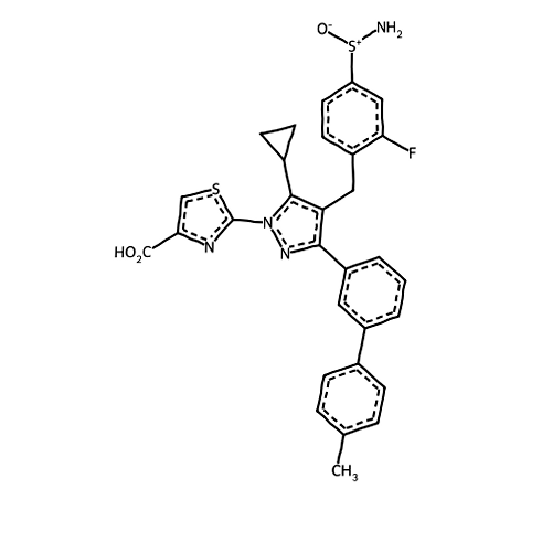 Cc1ccc(-c2cccc(-c3nn(-c4nc(C(=O)O)cs4)c(C4CC4)c3Cc3ccc([S+](N)[O-])cc3F)c2)cc1